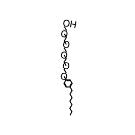 CCCCCCCCc1ccc(OCCOCCOCCOCCOCCO)cc1